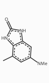 CNc1cc(C)c2[nH]c(=O)[nH]c2c1